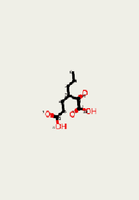 CCCC(CCC(=O)O)C(=O)C(=O)O